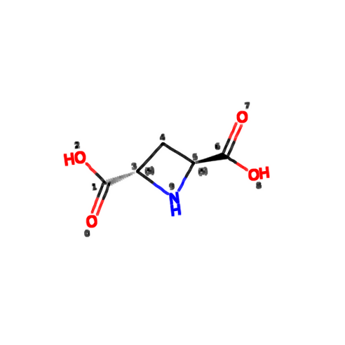 O=C(O)[C@@H]1C[C@@H](C(=O)O)N1